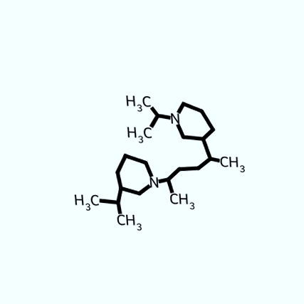 CC(C)C1CCCN(C(C)CCC(C)C2CCCN(C(C)C)C2)C1